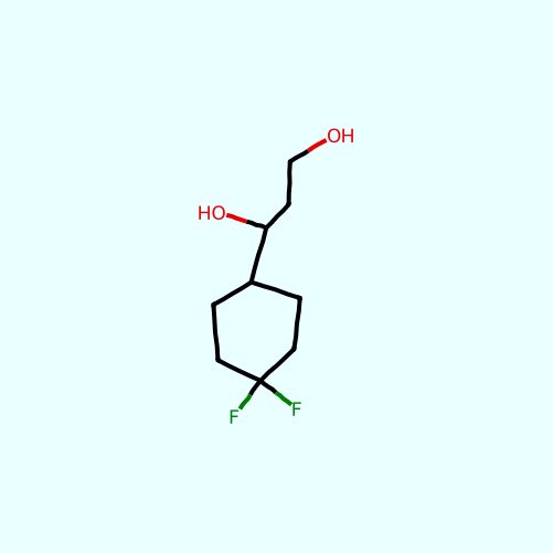 OCCC(O)C1CCC(F)(F)CC1